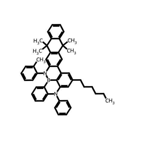 CCCCCCc1cc2c3c(c1)N(c1ccccc1)c1ccccc1B3N(c1ccccc1C)c1cc3c(cc1-2)C(C)(C)c1ccccc1C3(C)C